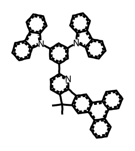 CC1(C)c2cc3c4ccccc4c4ccccc4c3cc2-c2nc(-c3cc(-n4c5ccccc5c5ccccc54)cc(-n4c5ccccc5c5ccccc54)c3)ccc21